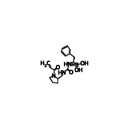 C=CC(=O)N1CCCC1CNC(=O)N[C@@H](Cc1ccccc1)B(O)O